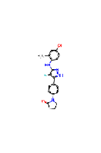 Cc1cc(O)ccc1Nc1n[nH]c(-c2ccc(N3CCCC3=O)cc2)c1F